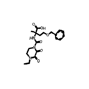 CCN1CCN(C(=O)NC(C)(CCOCc2ccccc2)C(=O)O)C(=O)C1=O